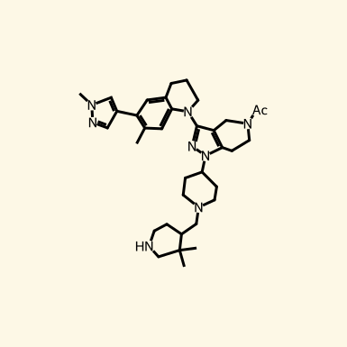 CC(=O)N1CCc2c(c(N3CCCc4cc(-c5cnn(C)c5)c(C)cc43)nn2C2CCN(CC3CCNCC3(C)C)CC2)C1